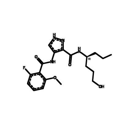 CCC[C@@H](CCCO)NC(=O)c1n[nH]cc1NC(=O)c1c(F)cccc1OC